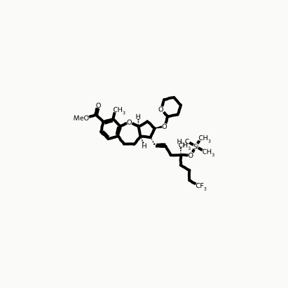 COC(=O)c1ccc2c(c1C)O[C@H]1C[C@@H](OC3CCCCO3)[C@H](/C=C/C[C@](C)(CCCC(F)(F)F)O[Si](C)(C)C)[C@H]1CC2